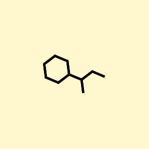 CCC(C)C1CCCCC1